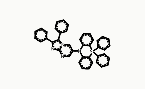 c1ccc(-c2nc3ncc(N4c5ccccc5[Si](c5ccccc5)(c5ccccc5)c5ccccc54)cn3c2-c2ccccc2)cc1